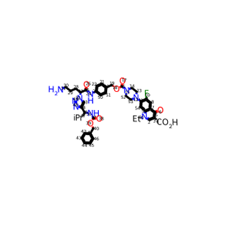 CCn1cc(C(=O)O)c(=O)c2cc(F)c(N3CCN(C(=O)OCc4ccc(NC(=O)C(CCCN)n5cc(C(NC(=O)OCc6ccccc6)C(C)C)nn5)cc4)CC3)cc21